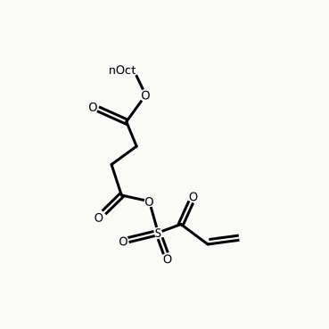 C=CC(=O)S(=O)(=O)OC(=O)CCC(=O)OCCCCCCCC